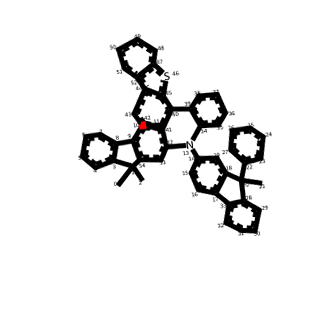 CC1(C)c2ccccc2-c2ccc(N(c3ccc4c(c3)C(C)(c3ccccc3)c3ccccc3-4)c3ccccc3-c3cccc4c3sc3ccccc34)cc21